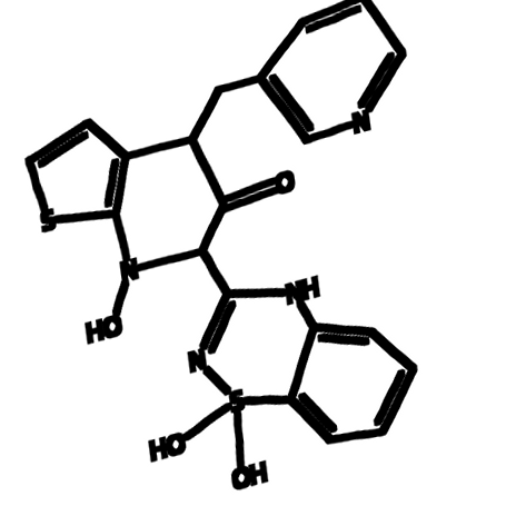 Cc1cncc(CC2C(=O)C(C3=NS(O)(O)c4ccccc4N3)N(O)c3sccc32)c1